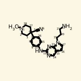 CN1CCC(C#N)(c2ccc(Nc3ncc4ccn(CCCN)c4n3)cc2)CC1